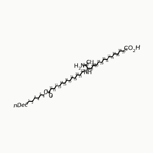 CCCCCCCCCCCCCCCCOC(=O)CCCCCCCCCCCCCNC(CCCCCCCCCCCCCC(=O)O)C(C)N